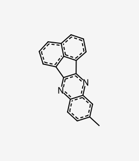 Cc1ccc2nc3c(nc2c1)-c1cccc2cccc-3c12